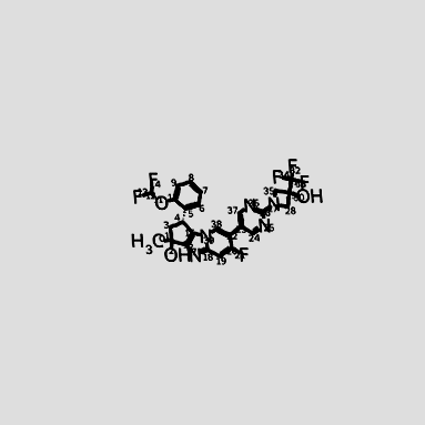 C[C@@]1(O)C[C@H](c2ccccc2OC(F)F)c2c1nc1cc(F)c(-c3cnc(N4CC(O)(C(F)(F)F)C4)nc3)cn21